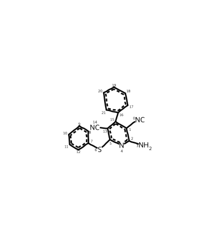 [C-]#[N+]c1c(N)nc(Sc2ccccc2)c(C#N)c1-c1ccccc1